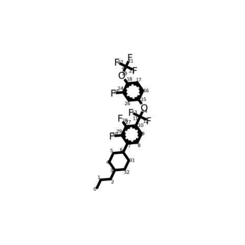 CCCC1CCC(c2ccc(C(F)(F)Oc3ccc(OC(F)(F)F)c(F)c3)c(F)c2F)CC1